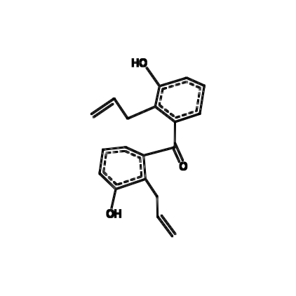 C=CCc1c(O)cccc1C(=O)c1cccc(O)c1CC=C